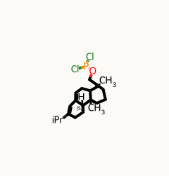 CC(C)C1=CC2=CCC3[C@@](C)(COP(Cl)Cl)CCC[C@]3(C)[C@@H]2CC1